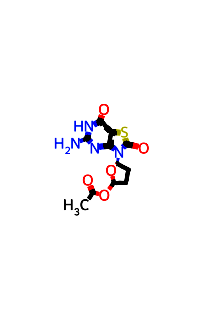 CC(=O)OC1CC[C@H](n2c(=O)sc3c(=O)[nH]c(N)nc32)O1